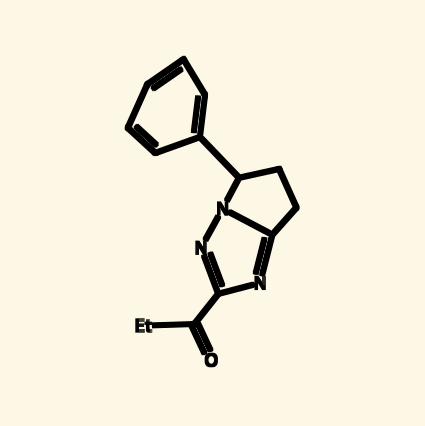 CCC(=O)c1nc2n(n1)C(c1ccccc1)CC2